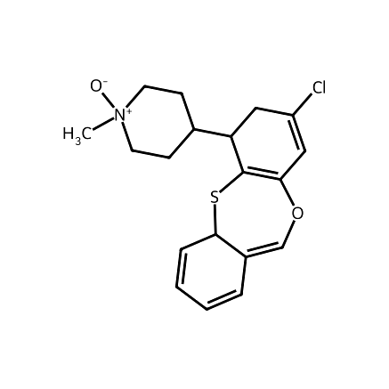 C[N+]1([O-])CCC(C2CC(Cl)=CC3=C2SC2C=CC=CC2=CO3)CC1